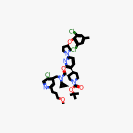 COCCCc1cc(CN(C(=O)[C@H]2CN(C(=O)OC(C)(C)C)CC[C@@H]2c2ccc(N3CC[C@@H](Oc4c(Cl)cc(C)cc4Cl)C3)nc2)C2CC2)c(Cl)cn1